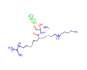 Cl.Cl.Cl.N=C(N)NCCCCCC(CCCCNCCCN)C(=O)N[C@](N)(O)C=O